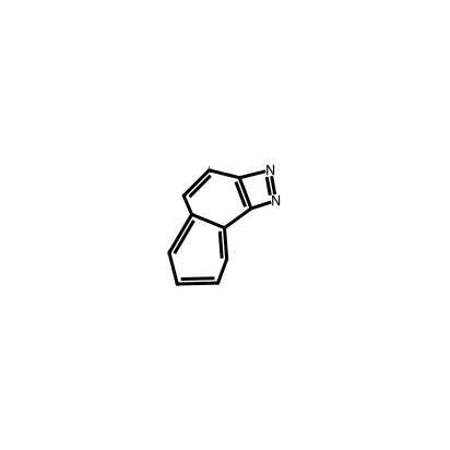 [c]1cc2ccccc2c2c1N=N2